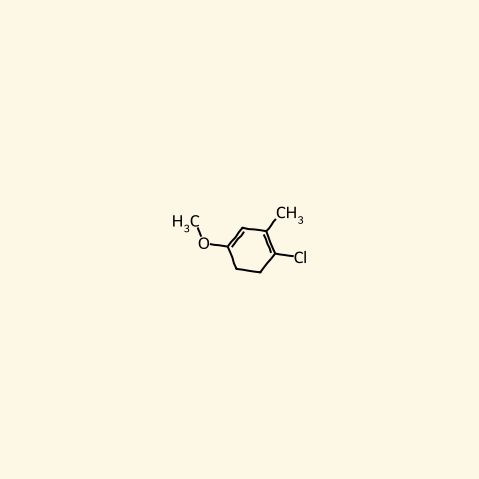 COC1=CC(C)=C(Cl)CC1